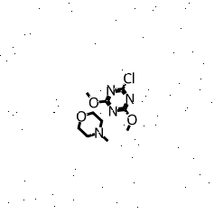 CN1CCOCC1.COc1nc(Cl)nc(OC)n1